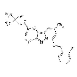 CCCC(C)(N)CNC(=O)Oc1c(C)nn2c(OCc3ncccc3F)cc(C)cc12